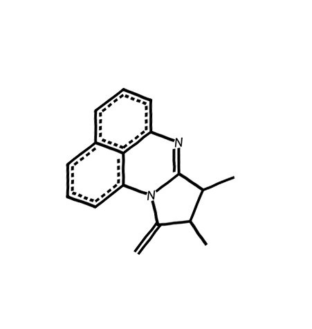 C=C1C(C)C(C)C2=Nc3cccc4cccc(c34)N12